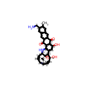 Cc1cc2cc3c(cc2cc1CN)C(=O)c1c2c(cc(O)c1C3=O)[C@@]13O[C@@]1(C(C)C)[C@H](C#C/C=C\C#C[C@H]3O)N2